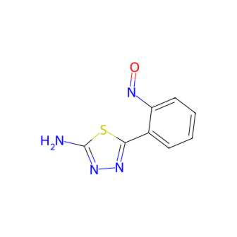 Nc1nnc(-c2ccccc2N=O)s1